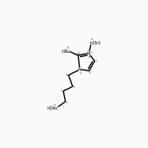 CCCCCCCCCCCCCCn1cc[n+](CCCCCCCC)c1CCCC